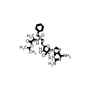 CC(C)OC(=O)[C@@H](C)N[P@@](=O)(OC[C@H]1O[C@@H](n2cnc3c(N)nc(N)nc32)[C@](C)(Cl)[C@@H]1O)Oc1ccccc1